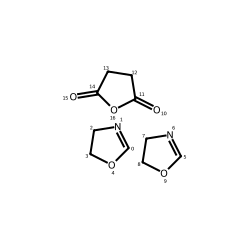 C1=NCCO1.C1=NCCO1.O=C1CCC(=O)O1